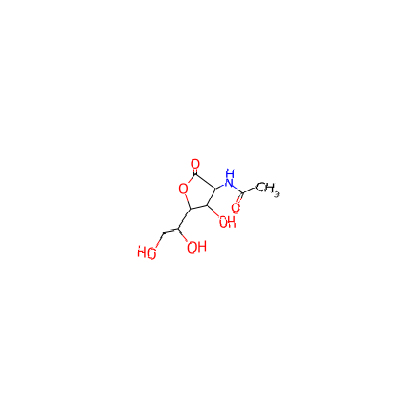 CC(=O)NC1C(=O)OC(C(O)CO)C1O